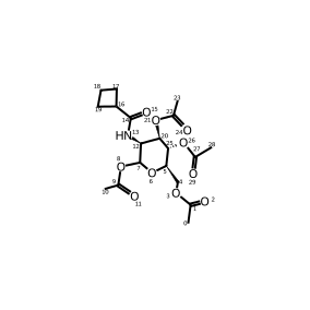 CC(=O)OC[C@H]1OC(OC(C)=O)[C@@H](NC(=O)C2CCC2)[C@@H](OC(C)=O)[C@@H]1OC(C)=O